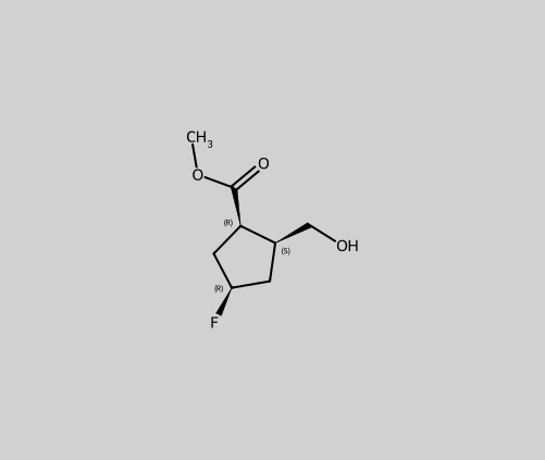 COC(=O)[C@@H]1C[C@H](F)C[C@@H]1CO